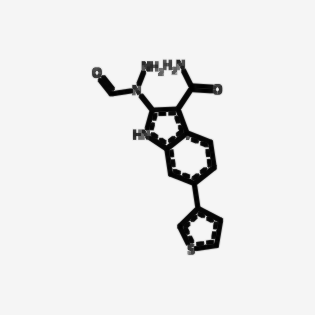 NC(=O)c1c(N(N)C=O)[nH]c2cc(-c3ccsc3)ccc12